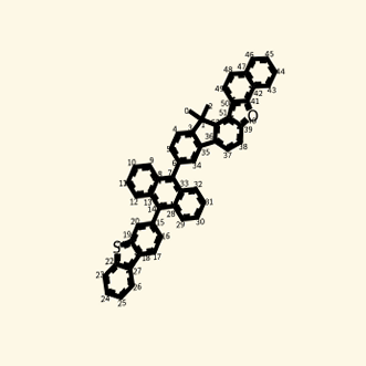 CC1(C)c2ccc(-c3c4ccccc4c(-c4ccc5c(c4)sc4ccccc45)c4ccccc34)cc2-c2ccc3oc4c5ccccc5ccc4c3c21